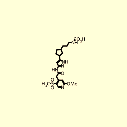 COc1cc(CC(=O)Nc2cc(C3CCC(CCCNC(=O)O)C3)[nH]n2)c(S(C)(=O)=O)cn1